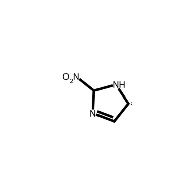 O=[N+]([O-])C1N=C[C]N1